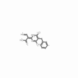 CC1=N/C(=C(/C=N)C(=O)O)NC(Cl)=C1Cc1ccccc1